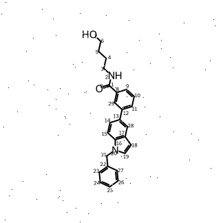 O=C(NCCCCO)c1cccc(-c2ccc3c(ccn3Cc3ccccc3)c2)c1